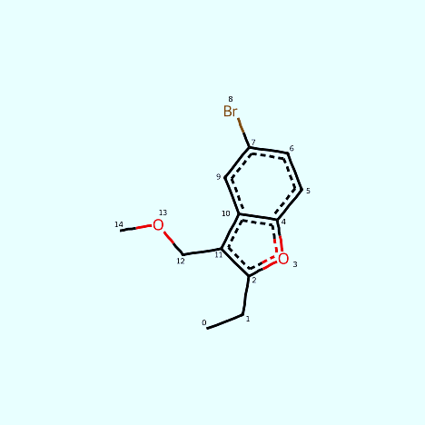 CCc1oc2ccc(Br)cc2c1COC